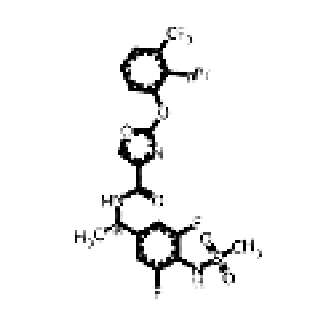 CCCc1c(Oc2nc(C(=O)N[C@H](C)c3cc(F)c(NS(C)(=O)=O)c(F)c3)co2)cccc1C(F)(F)F